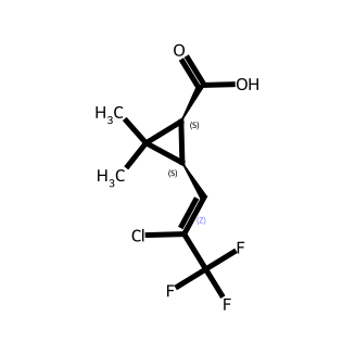 CC1(C)[C@H](/C=C(\Cl)C(F)(F)F)[C@@H]1C(=O)O